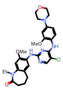 CCN1C(=O)CCCc2cc(Nc3ncc(Cl)c(Nc4ccc(N5CCOCC5)cc4OC)n3)c(OC)cc21